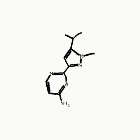 CC(C)c1cc(-c2nccc(N)n2)nn1C